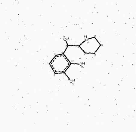 Oc1cccc(C(O)C2CCCCN2)c1O